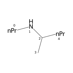 CCCNC(C)CCC